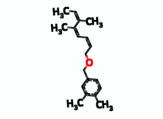 C\C=C(C)/C(C)=C\C=C/COCc1ccc(C)c(C)c1